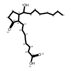 CCCCCCCC(O)C1CCC(=O)C1CCCCCCC(=O)O